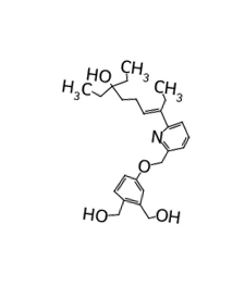 CCC(=CCCC(O)(CC)CC)c1cccc(COc2ccc(CO)c(CO)c2)n1